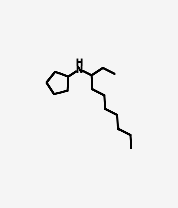 CCCCCCCC(CC)NC1CCCC1